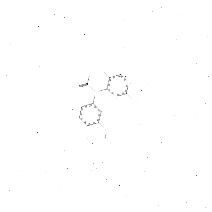 O=C(O)N(c1cccc(NO)c1)c1nc(Cl)ncc1F